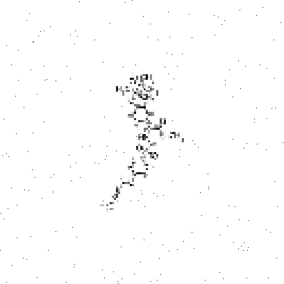 CC#CCOc1ccc(S(=O)(=O)CNC(C(=O)OC)c2ccc(O[Si](C)(C)C(C)(C)C)cc2)cc1